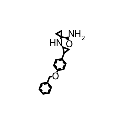 NC(=O)C1(N[C@H]2CC2c2ccc(OCc3ccccc3)cc2)CC1